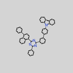 c1ccc(-c2nc(-c3cccc(-c4ccc(-n5c6ccccc6c6ccccc65)cc4)c3)nc(-c3ccc(-c4ccccc4)c4ccccc34)n2)cc1